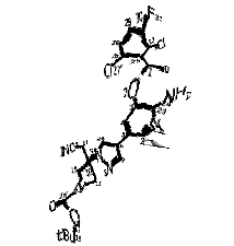 CC(Oc1cc(-c2cnn(C3(CC#N)CN(C(=O)OC(C)(C)C)C3)c2)cnc1N)c1c(Cl)ccc(F)c1Cl